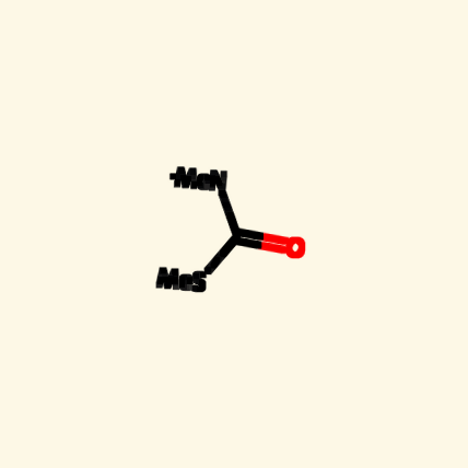 C[N]C(=O)SC